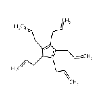 C=CCC1=C(CC=C)C(CC=C)C(CC=C)=C1CC=C